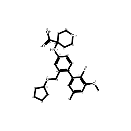 COc1cc(C)cc(-c2ccc(NC3(C(=O)O)CCOCC3)cc2COC2CCCC2)c1F